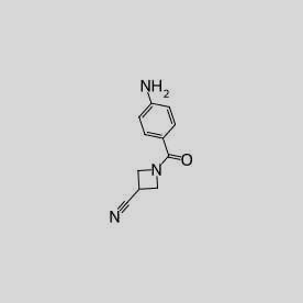 N#CC1CN(C(=O)c2ccc(N)cc2)C1